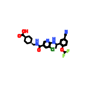 CC(Nc1ncc(C(=O)NC[C@H]2CC[C@H](C(=O)O)CC2)cc1Cl)c1cc(C#N)ccc1OC(F)F